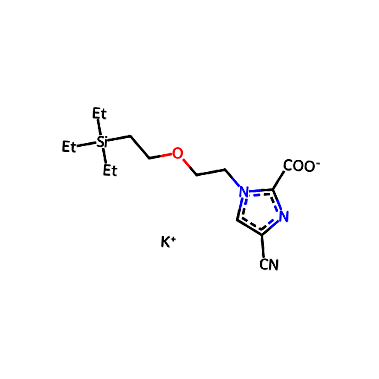 CC[Si](CC)(CC)CCOCCn1cc(C#N)nc1C(=O)[O-].[K+]